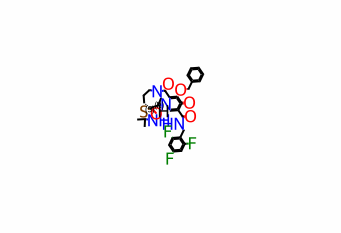 CC1(C)NO[C@@]2(CCCN3C[C@H]2n2cc(C(=O)NCc4c(F)cc(F)cc4F)c(=O)c(OCc4ccccc4)c2C3=O)S1